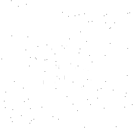 N.O.c1csc(-c2cnccn2)c1